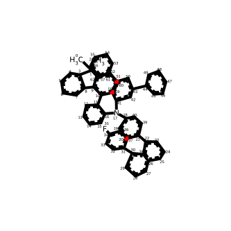 CC1(C)c2ccccc2-c2c(-c3ccccc3N(c3ccc(-c4cccc5cccc(-c6ccc(F)cc6)c45)cc3)c3cc(-c4ccccc4)cc(-c4ccccc4)c3)cccc21